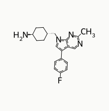 Cc1ncc2c(-c3ccc(F)cc3)cn(C[C@H]3CC[C@H](N)CC3)c2n1